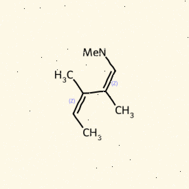 C/C=C(C)\C(C)=C/NC